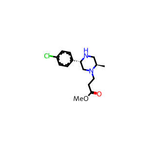 COC(=O)CCN1C[C@H](c2ccc(Cl)cc2)NC[C@H]1C